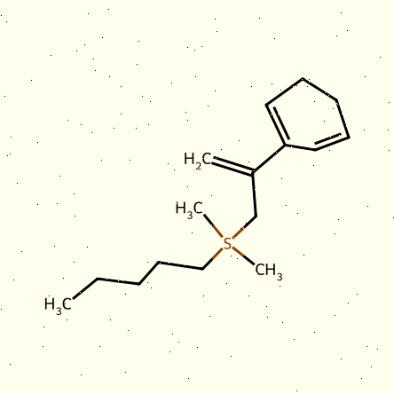 C=C(CS(C)(C)CCCCC)C1=CCCC=C1